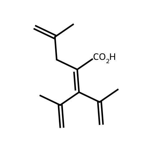 C=C(C)CC(C(=O)O)=C(C(=C)C)C(=C)C